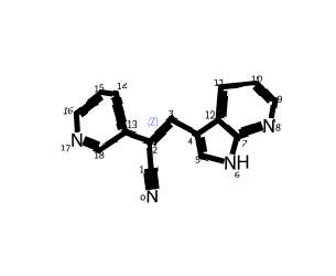 N#C/C(=C\c1c[nH]c2ncccc12)c1cccnc1